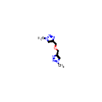 Cn1cc(COCc2cn(C)nn2)nn1